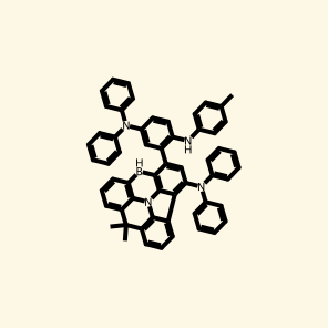 Cc1ccc(Nc2ccc(N(c3ccccc3)c3ccccc3)cc2-c2cc(N(c3ccccc3)c3ccccc3)c3c4cccc5c4n4c3c2Bc2cccc(c2-4)C5(C)C)cc1